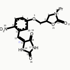 CC(C)N1CC(COc2ccc([N+](=O)[O-])c(/C=C3/NC(=O)NC3=O)c2)OC1=O